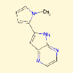 Cn1cccc1-c1cc2nccnc2[nH]1